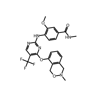 CNC(=O)c1ccc(Nc2ncc(C(F)(F)F)c(Oc3cccc4c3CON(C)C4)n2)c(OC)c1